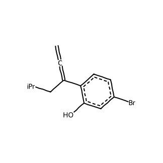 C=C=C(CC(C)C)c1ccc(Br)cc1O